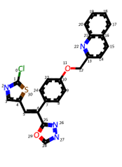 Clc1ncc(/C=C(\c2ccc(OCc3ccc4ccccc4n3)cc2)c2nnco2)s1